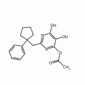 CC(=O)Oc1nc(CC2(c3ccccc3)CCCC2)nc(O)c1O